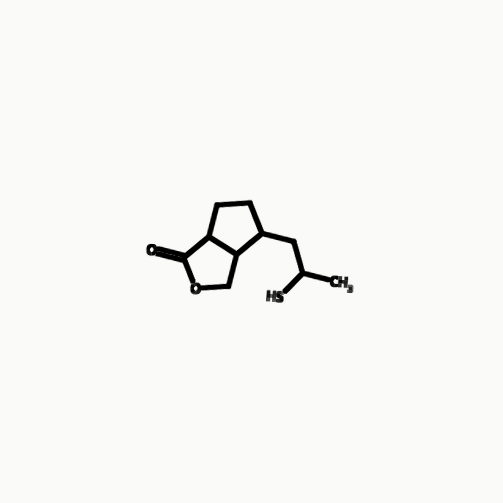 CC(S)CC1CCC2C(=O)OCC12